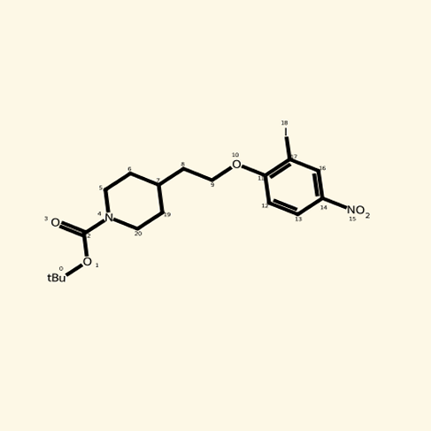 CC(C)(C)OC(=O)N1CCC(CCOc2ccc([N+](=O)[O-])cc2I)CC1